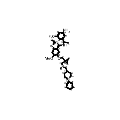 COc1cc2nc(C)nc(NC(C)c3cc(N)cc(C(F)(F)F)c3)c2cc1OCC1(CN(C)CC2CCN(c3ccccc3)CC2)CC1